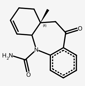 C[C@]12CCC=CC1N(C(N)=O)c1ccccc1C(=O)C2